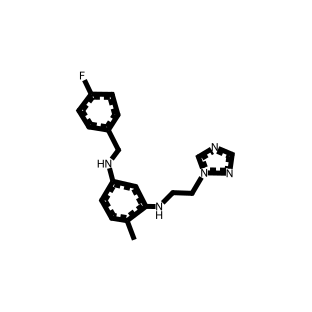 Cc1ccc(NCc2ccc(F)cc2)cc1NCCn1cncn1